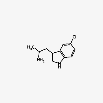 CC(N)CC1CNc2ccc(Cl)cc21